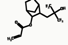 C=CC(=O)OC1C2CCC(C2)C1CC(O)(C(F)(F)F)C(F)(F)F